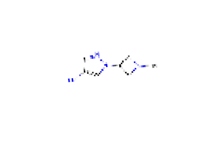 CC(C)N1CC(n2cc(N)cn2)C1